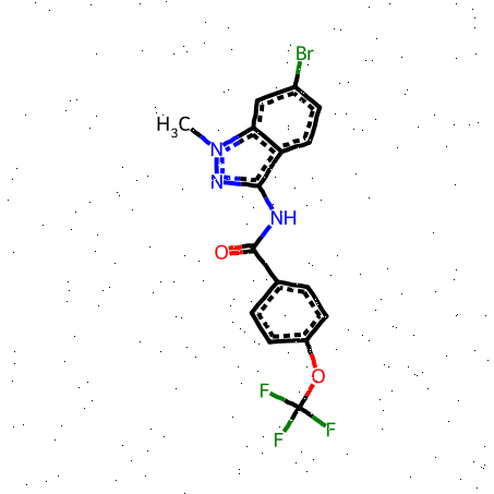 Cn1nc(NC(=O)c2ccc(OC(F)(F)F)cc2)c2ccc(Br)cc21